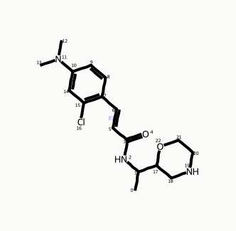 CC(NC(=O)/C=C/c1ccc(N(C)C)cc1Cl)C1CNCCO1